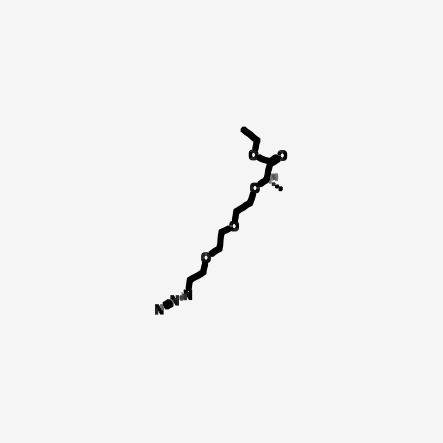 CCOC(=O)[C@H](C)OCCOCCOCCN=[N+]=[N-]